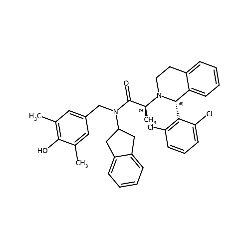 Cc1cc(CN(C(=O)[C@H](C)N2CCc3ccccc3[C@@H]2c2c(Cl)cccc2Cl)C2Cc3ccccc3C2)cc(C)c1O